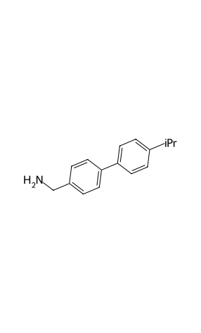 CC(C)c1ccc(-c2ccc(CN)cc2)cc1